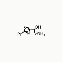 CC(C)c1nc(C(O)CN)cs1